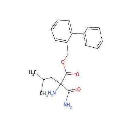 CC(C)CC(N)(C(N)=O)C(=O)OCc1ccccc1-c1ccccc1